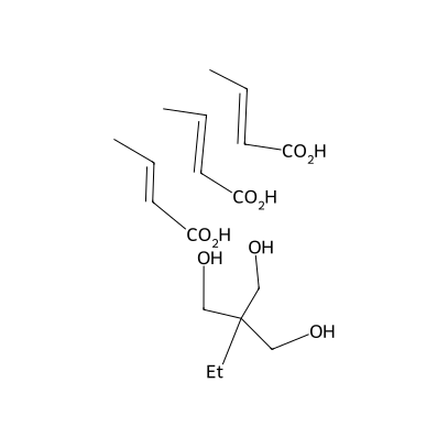 C/C=C/C(=O)O.C/C=C/C(=O)O.C/C=C/C(=O)O.CCC(CO)(CO)CO